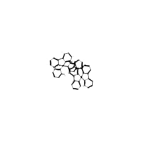 c1ccc2c(c1)Oc1cc(-c3cccc4c3C3(c5ccccc5-4)c4ccccc4-c4ccc5ccccc5c43)ccc1C21c2ccccc2-c2ccccc21